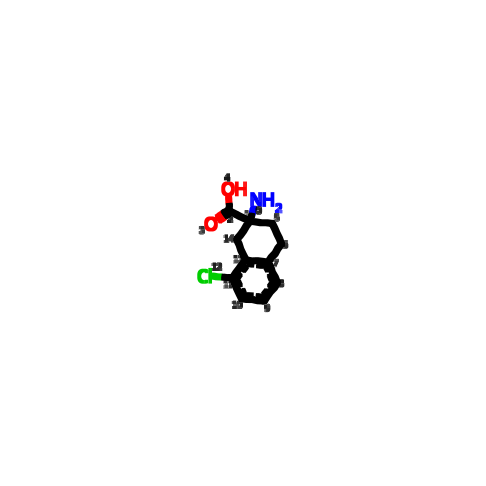 NC1(C(=O)O)CCc2cccc(Cl)c2C1